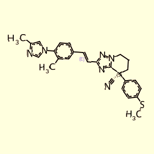 CSc1ccc([C@]2(C#N)CCCn3nc(/C=C/c4ccc(-n5cnc(C)c5)c(C)c4)nc32)cc1